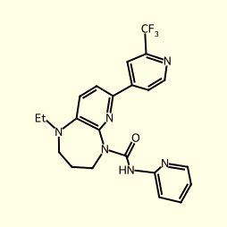 CCN1CCCN(C(=O)Nc2ccccn2)c2nc(-c3ccnc(C(F)(F)F)c3)ccc21